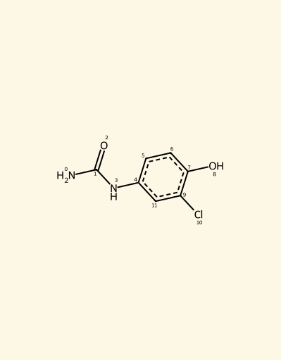 NC(=O)Nc1ccc(O)c(Cl)c1